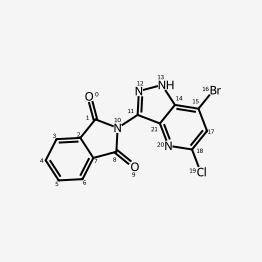 O=C1c2ccccc2C(=O)N1c1n[nH]c2c(Br)cc(Cl)nc12